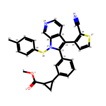 COC(=O)C1CC1c1cccc(-c2c(-c3ccsc3C#N)c3ccncc3n2Sc2ccc(C)cc2)c1